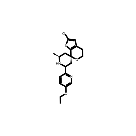 CCOc1ccc([C@@H]2C[C@]3(C[C@H](C)N2)OCCc2cc(Cl)sc23)nc1